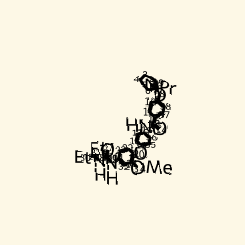 CCCN1C2CCC1CC(Oc1ccc(C(=O)Nc3ccc(Oc4ccc(NC(=O)NC(CC)CC)cc4OC)cc3)cc1)C2